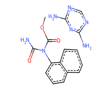 COC(=O)N(C(N)=O)c1cccc2ccccc12.Nc1ncnc(N)n1